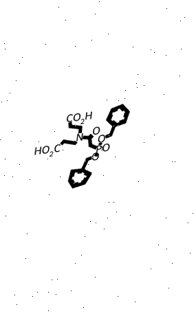 O=C(O)CCN(CCC(=O)O)C(=O)CP(=O)(OCc1ccccc1)OCc1ccccc1